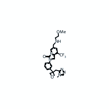 COCCNCc1cc(C(F)(F)F)c2cn(-c3cccc(C4(Cc5nncn5C)COC4)c3)c(=O)n2c1